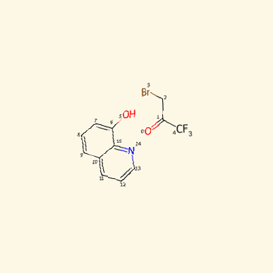 O=C(CBr)C(F)(F)F.Oc1cccc2cccnc12